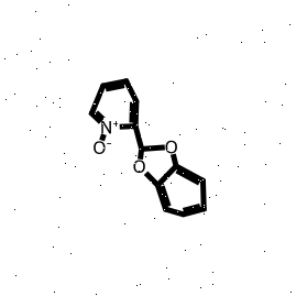 [O-][n+]1ccccc1C1Oc2ccccc2O1